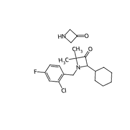 CC1(C)C(=O)C(C2CCCCC2)N1Cc1ccc(F)cc1Cl.O=C1CNC1